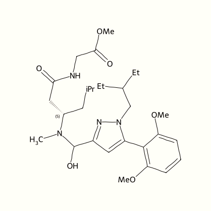 CCC(CC)Cn1nc(C(O)N(C)[C@H](CC(=O)NCC(=O)OC)CC(C)C)cc1-c1c(OC)cccc1OC